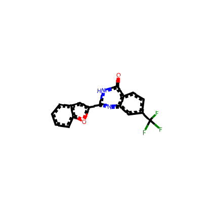 O=c1[nH]c(-c2cc3ccccc3o2)nc2cc(C(F)(F)F)ccc12